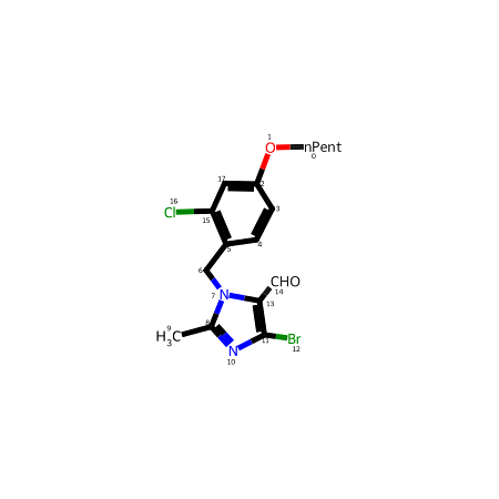 CCCCCOc1ccc(Cn2c(C)nc(Br)c2C=O)c(Cl)c1